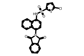 O=C1c2ccccc2C(=O)N1c1ccc(NS(=O)(=O)c2ccc(Cl)s2)c2ccccc12